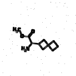 COC(=O)C(N)C1CC2(CCC2)C1